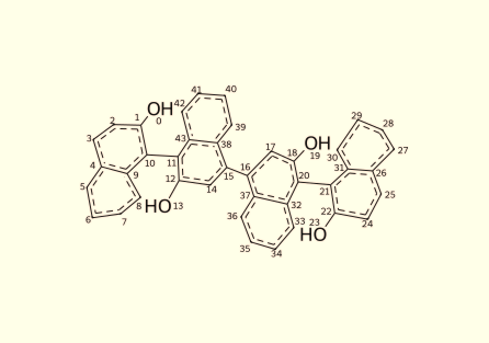 Oc1ccc2ccccc2c1-c1c(O)cc(-c2cc(O)c(-c3c(O)ccc4ccccc34)c3ccccc23)c2ccccc12